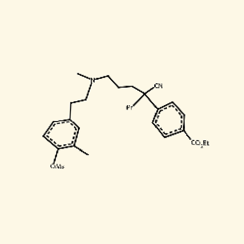 CCOC(=O)c1ccc(C(C#N)(CCCN(C)CCc2ccc(OC)c(C)c2)C(C)C)cc1